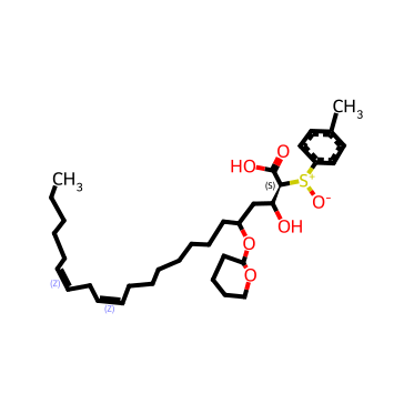 CCCCC/C=C\C/C=C\CCCCCCCC(CC(O)[C@@H](C(=O)O)[S+]([O-])c1ccc(C)cc1)OC1CCCCO1